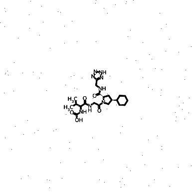 CC(C)C(NC(=O)O)C(=O)NCC(=O)N1C[C@H](C2CCCCC2)C[C@H]1C(=O)NCc1nn[nH]n1